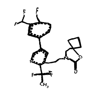 CC(F)(F)c1ncc(-c2ccc(F)c(C(F)F)c2)cc1CN1CC2(CCC2)OC1=O